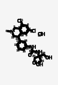 CN1Cc2c(Cl)cc(Cl)cc2C(c2cccc(NC(=O)NC(CO)(CO)CO)c2)C1.Cl